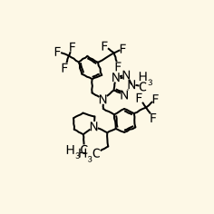 CCC(c1ccc(C(F)(F)F)cc1CN(Cc1cc(C(F)(F)F)cc(C(F)(F)F)c1)c1nnn(C)n1)N1CCCCC1C